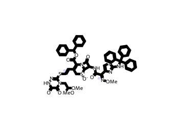 CO/N=C(/C(=O)NC1C(=O)N2C(C(=O)OC(c3ccccc3)c3ccccc3)=C(/C=C/Sc3n[nH]c(=O)c(=O)n3CC(OC)OC)C[S+]([O-])C12)c1csc(NC(c2ccccc2)(c2ccccc2)c2ccccc2)n1